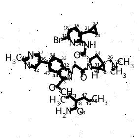 CC(=O)c1nn(CC(=O)N2[C@H](C(=O)Nc3nc(Br)ccc3C3CC3)C[C@@]3(CN(C)C)C[C@@H]23)c2ccc(-c3cnc(C)nc3)cc12.CCCC(CC)C(N)=O